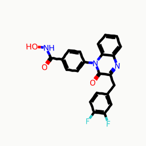 O=C(NO)c1ccc(-n2c(=O)c(Cc3ccc(F)c(F)c3)nc3ccccc32)cc1